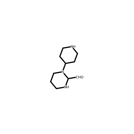 O=CC1NCCCN1C1CCNCC1